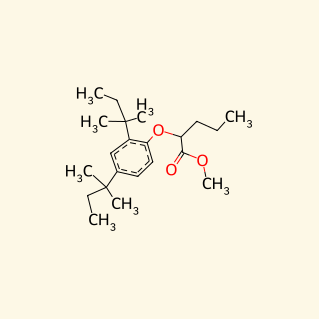 CCCC(Oc1ccc(C(C)(C)CC)cc1C(C)(C)CC)C(=O)OC